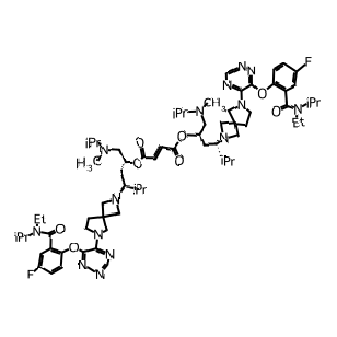 CCN(C(=O)c1cc(F)ccc1Oc1nncnc1N1CCC2(C1)CN([C@@H](C[C@H](CN(C)C(C)C)OC(=O)/C=C/C(=O)O[C@H](C[C@@H](C(C)C)N1CC3(CCN(c4ncnnc4Oc4ccc(F)cc4C(=O)N(CC)C(C)C)C3)C1)CN(C)C(C)C)C(C)C)C2)C(C)C